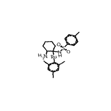 Cc1ccc(S(=O)(=O)N[C]2([Ru][c]3c(C)cc(C)cc3C)CCCCC2N)cc1